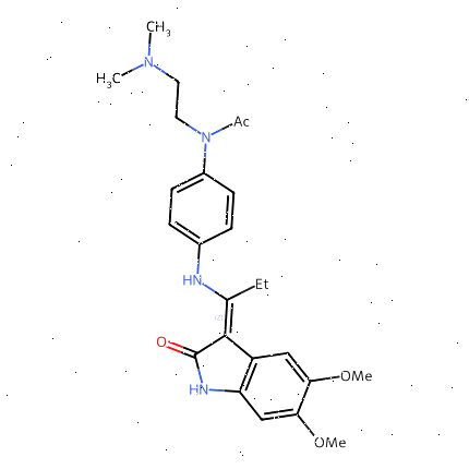 CC/C(Nc1ccc(N(CCN(C)C)C(C)=O)cc1)=C1/C(=O)Nc2cc(OC)c(OC)cc21